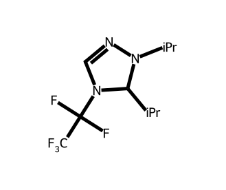 CC(C)C1N(C(C)C)N=CN1C(F)(F)C(F)(F)F